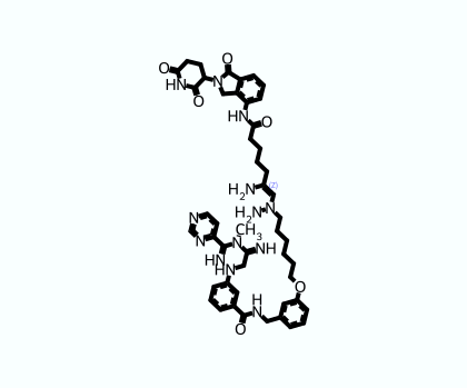 CN(C(=N)CNc1cccc(C(=O)NCc2cccc(OCCCCCCN(N)/C=C(\N)CCCCC(=O)Nc3cccc4c3CN(C3CCC(=O)NC3=O)C4=O)c2)c1)C(=N)c1ccncn1